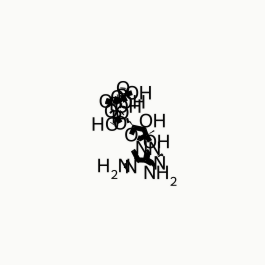 C[C@@]1(O)[C@H](O)[C@@H](COP(=O)(O)OP(=O)(O)OP(=O)(O)O)O[C@H]1N1CC(=NN)c2c(N)ncnc21